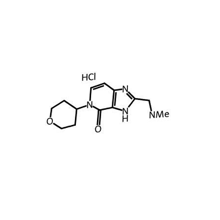 CNCc1nc2ccn(C3CCOCC3)c(=O)c2[nH]1.Cl